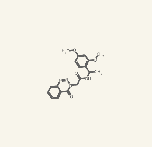 COc1ccc(C(C)NC(=O)Cn2nnc3ccccc3c2=O)c(OC)c1